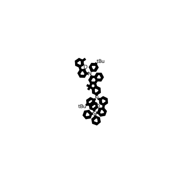 Cc1cccc2c1oc1c(N(c3ccc(C(C)(C)C)cc3)c3cc4c(c5ccccc35)-c3ccc(N(c5ccc(C(C)(C)C)cc5)c5cccc6c5oc5c([Si](c7ccccc7)(c7ccccc7)c7ccccc7)cccc56)cc3C4(C)C)cccc12